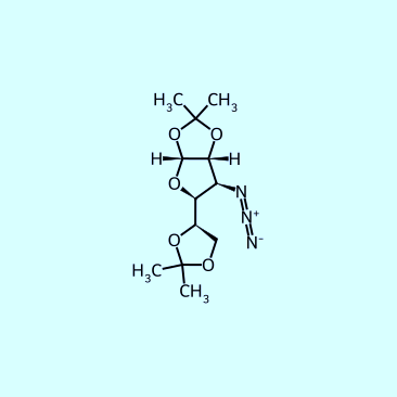 CC1(C)O[C@H]2O[C@H]([C@H]3COC(C)(C)O3)[C@H](N=[N+]=[N-])[C@H]2O1